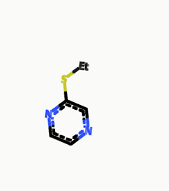 CCSc1cnccn1